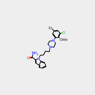 CCc1cc(Cl)c(OC)c(N2CCN(CCCCn3c(C(N)=O)cc4ccccc43)CC2)c1